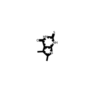 Cc1sc2[nH]c(=S)[nH]c(=O)c2c1C